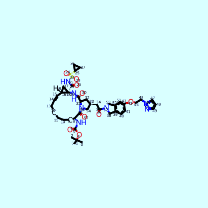 CC(C)(C)OC(=O)N[C@H]1CCCCC/C=C\[C@@H]2C[C@@]2(C(=O)NS(=O)(=O)C2CC2)NC(=O)C2C[C@@H](CC(=O)N3Cc4ccc(OCCn5cccn5)cc4C3)CN2C1=O